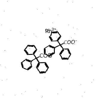 O=C([O-])C(c1ccccc1)(c1ccccc1)c1ccccc1.O=C([O-])C(c1ccccc1)(c1ccccc1)c1ccccc1.[Rh+2]